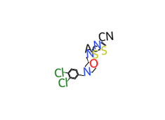 CC(=O)N(C[C@@H]1CN(Cc2ccc(Cl)c(Cl)c2)CCO1)Sc1nc(C#N)cs1